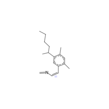 C=N/C=C\c1cc(C(C)CCCC)c(C)cc1C